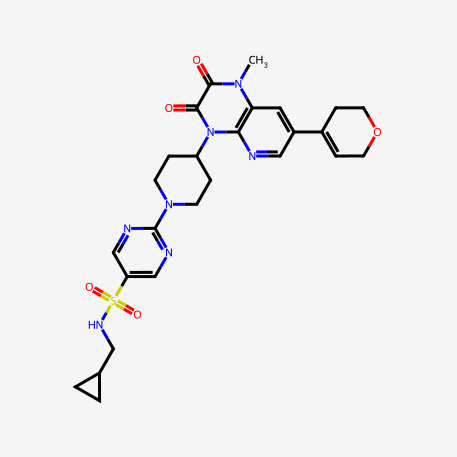 Cn1c(=O)c(=O)n(C2CCN(c3ncc(S(=O)(=O)NCC4CC4)cn3)CC2)c2ncc(C3=CCOCC3)cc21